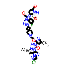 CO[C@@H](C)c1c(NC(=O)Nc2cc(C(F)(F)F)cnc2OCCN2CCC3(CC2)CC(Nc2c(F)ccc4c2N(C)C(=C=O)N4C2CCC(=C=O)NC2=C=O)C3)cnc2cc(Cl)nn12